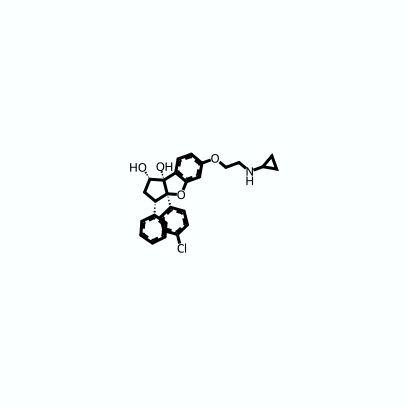 O[C@H]1C[C@@H](c2ccccc2)[C@]2(c3ccc(Cl)cc3)Oc3cc(OCCNC4CC4)ccc3[C@]12O